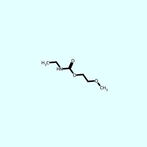 CCNC(=O)OCCOC